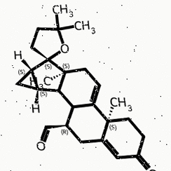 CC1(C)CC[C@]2(O1)[C@H]1C[C@H]1C1C3C(=CC[C@@]12C)[C@@]1(C)CCC(=O)C=C1C[C@H]3C=O